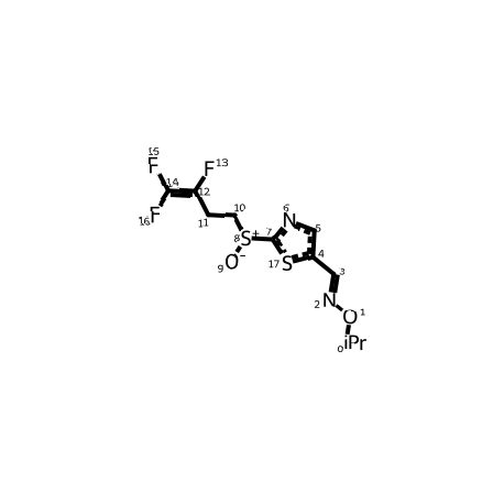 CC(C)ON=Cc1cnc([S+]([O-])CCC(F)=C(F)F)s1